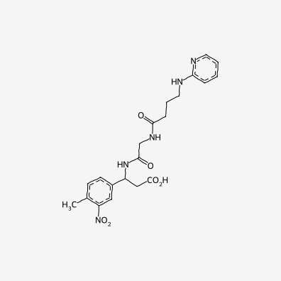 Cc1ccc(C(CC(=O)O)NC(=O)CNC(=O)CCCNc2ccccn2)cc1[N+](=O)[O-]